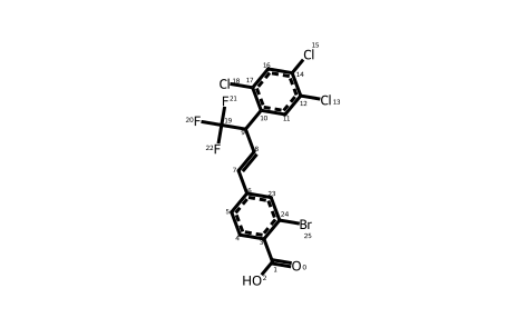 O=C(O)c1ccc(C=CC(c2cc(Cl)c(Cl)cc2Cl)C(F)(F)F)cc1Br